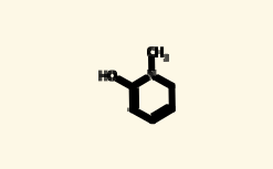 CN1CC=C[C]=C1O